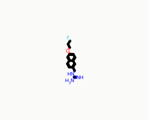 N=C(N)NCc1ccc2cc(OCCCF)ccc2c1